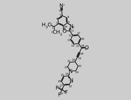 CC(C)c1cc(C#N)cc2nc(-c3ccc(C(=O)C#CC4CCN(c5ccc(C(F)(F)F)cn5)CC4)cc3)oc12